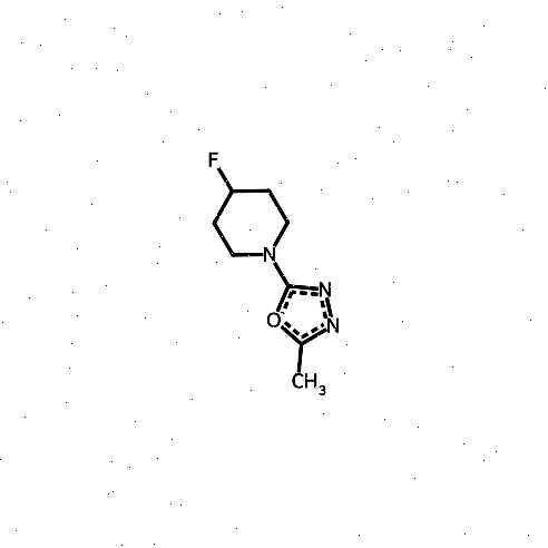 Cc1nnc(N2CCC(F)CC2)o1